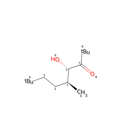 C[C@@H](CCC(C)(C)C)[C@H](O)C(=O)C(C)(C)C